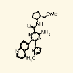 COC[C@@H]1CCC[C@@H]1NC(=O)c1nc(-c2ccc3ncccc3c2)c(-c2ccn(C)n2)nc1N